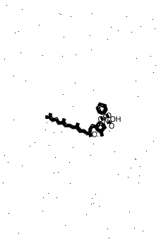 CC(C)=CCC/C(C)=C/CC/C(C)=C/CCC1(C)CCc2cc(N(C(=O)O)S(=O)(=O)c3ccccc3)cc(C)c2O1